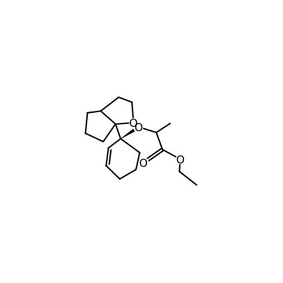 CCOC(=O)C(C)O[C@]1(C23CCCC2CCO3)C=CCCC1